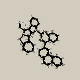 C=Cc1c2c3ccccc3n(-c3nc(-c4ccc5ccc6ccccc6c5c4)c4ccccc4n3)c2c2n1Cc1ccccc1-2